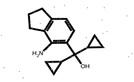 Nc1c(C(O)(C2CC2)C2CC2)ccc2c1CCC2